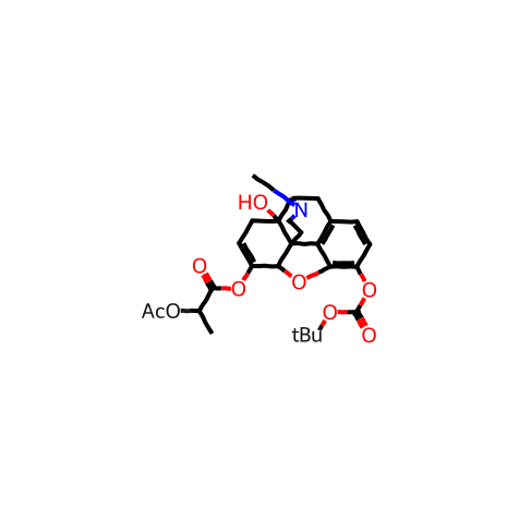 CC(=O)OC(C)C(=O)OC1=CCC2(O)C3Cc4ccc(OC(=O)OC(C)(C)C)c5c4C2(CCN3C)C1O5